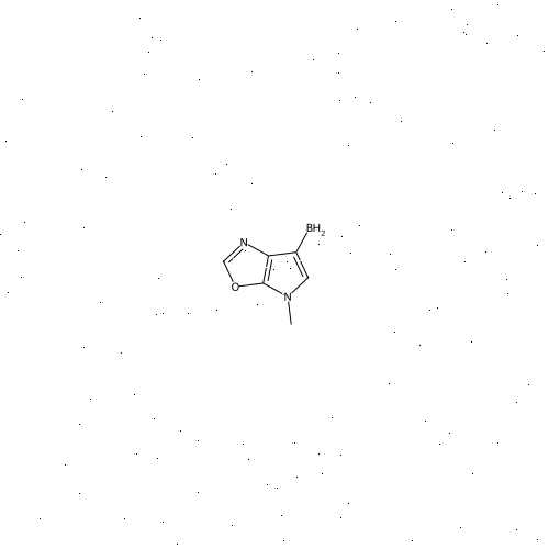 Bc1cn(C)c2ocnc12